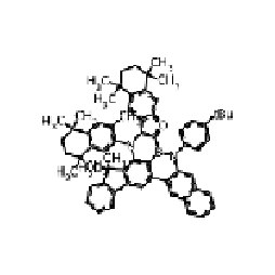 Cc1cc2c(cc1N1c3c4c(cc5c3C(C)(C)c3ccccc3-5)-c3cc5ccccc5cc3N(c3ccc(C(C)(C)C)cc3)B4c3oc4cc5c(cc4c31)C(C)(C)CCC5(C)C)C(C)(C)CCC2(C)C